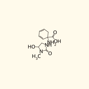 CN1C(=O)NCC1O.NC1(C(=O)O)C=CC=CC1